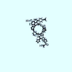 CCn1c(-c2cc(N3CCN(C4CC4)CC3)cnc2[C@H](C)OC)c2c3cc(ccc31)N1CCO[C@@H](C[C@H](NC(=O)C(C3CCCC3)N3CC[C@]4(CCN(C(=O)[C@H]5CN5)C4)C3)C(=O)N3CCC[C@H](N3)C(=O)OCC(C)(C)C2)C1